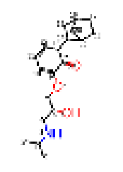 CC(C)NCC(O)COC1=CC=CC(C2CC3CCC2C3)C1=O